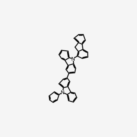 c1ccc(-n2c3ccccc3c3cc(-c4ccc5c(c4)c4ccccc4n5-c4cccc5c4Cc4ccccc4-5)ccc32)cc1